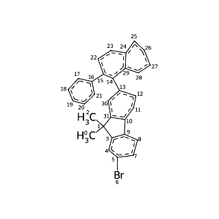 CC1(C)c2cc(Br)ccc2-c2ccc(-c3c(-c4ccccc4)ccc4ccccc34)cc21